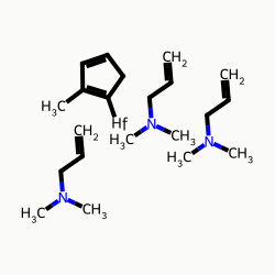 C=CCN(C)C.C=CCN(C)C.C=CCN(C)C.CC1=[C]([Hf])CC=C1